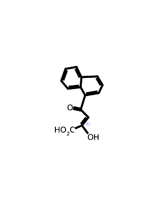 O=C(O)/C(O)=C\C(=O)c1cccc2ccccc12